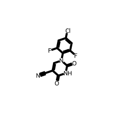 N#Cc1cn(-c2c(F)cc(Cl)cc2F)c(=O)[nH]c1=O